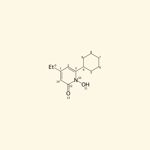 CCc1cc(C2CCCCC2)n(O)c(=O)c1